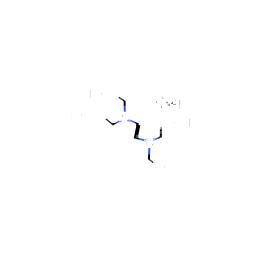 O=C(O)CN(C=CN(CC(=O)O)CC(=O)O)CC(=O)O.[NaH].[NaH]